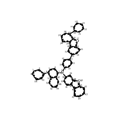 c1ccc(-c2ccc(N(c3ccc(-c4ccc5oc6c(-c7ccccc7)cccc6c5c4)cc3)c3ccc4c(c3)sc3ccccc34)c3ccccc23)cc1